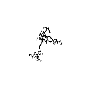 CCc1nnc2c(NCCCCNC(=O)OC(C)C)nc3cc(OC)ccc3n12